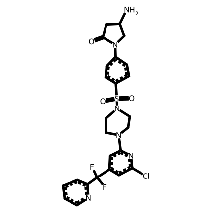 NC1CC(=O)N(c2ccc(S(=O)(=O)N3CCN(c4cc(C(F)(F)c5ccccn5)cc(Cl)n4)CC3)cc2)C1